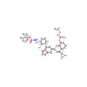 CCOC(=O)Cc1cccc2c1OC(c1cc(-c3cccc(CNC(=O)OC(C)(C)C)c3F)c3occc3c1)CN2C1CC1